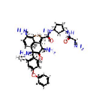 Cc1cc(Oc2ccccc2)ccc1C1(N)C(=O)C(N)c2c(C(=O)N[C@H]3CC[C@@H](NC(=O)CN)C3)sc3c(N)ccc1c23